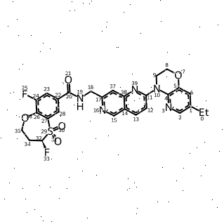 CCc1cnc2c(c1)OCCN2c1ccc2cnc(CNC(=O)c3cc(F)c4c(c3)S(=O)(=O)[C@@H](F)CCO4)cc2n1